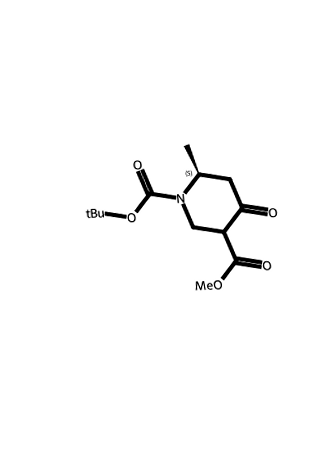 COC(=O)C1CN(C(=O)OC(C)(C)C)[C@@H](C)CC1=O